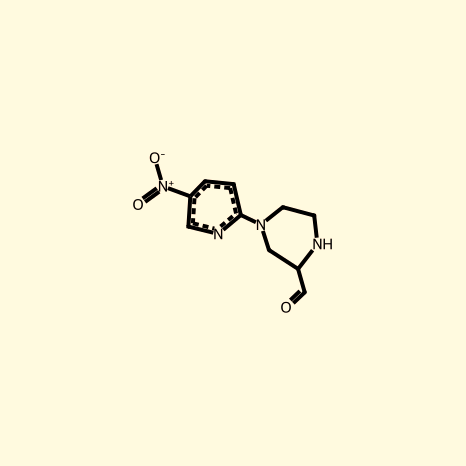 O=CC1CN(c2ccc([N+](=O)[O-])cn2)CCN1